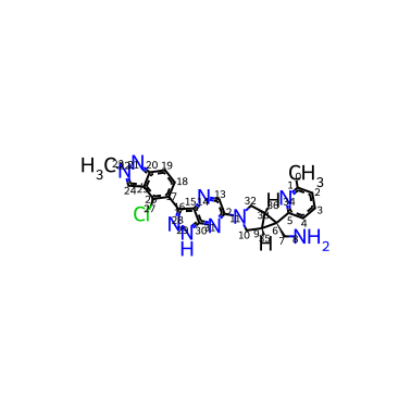 Cc1cccc([C@]2(CN)[C@@H]3CN(c4cnc5c(-c6ccc7nn(C)cc7c6Cl)n[nH]c5n4)C[C@@H]32)n1